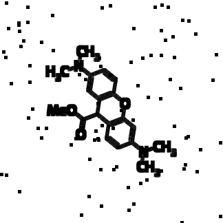 COC(=O)C1c2ccc(N(C)C)cc2Oc2ccc(N(C)C)cc21